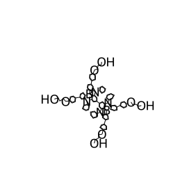 OCCCOc1ccc(-c2ccc3c(c2)N(c2ccccc2)c2cc(-c4cc5c6c(c4)N(c4ccccc4)c4cc(-c7ccc(OCCCO)cc7)ccc4B6c4ccc(-c6ccc(OCCCO)cc6)cc4N5c4ccccc4)cc4c2B3c2ccc(-c3ccc(OCCCO)cc3)cc2N4c2ccccc2)cc1